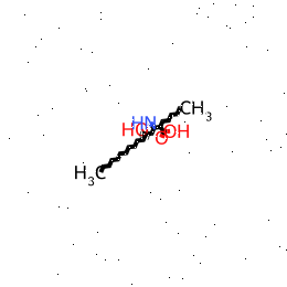 CCCCCCCCCCC[C@@H](O)CC(=N)C(CCCCCC)C(=O)O